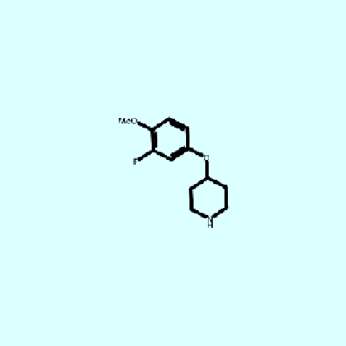 COc1ccc(OC2CCNCC2)cc1F